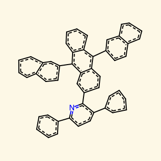 c1ccc(-c2ccc(-c3ccccc3)c(-c3ccc4c(-c5ccc6ccccc6c5)c5ccccc5c(-c5ccc6ccccc6c5)c4c3)n2)cc1